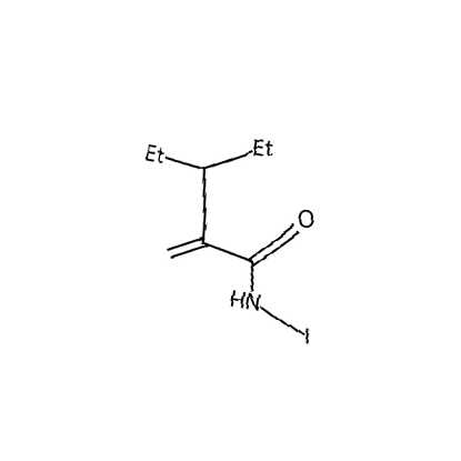 C=C(C(=O)NI)C(CC)CC